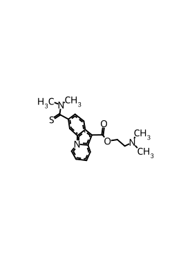 CN(C)CCOC(=O)c1c2ccc(C(=S)N(C)C)cc2n2ccccc12